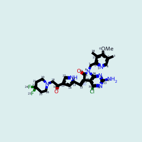 COc1c(C)cnc(CN2C(=O)/C(=C\c3cc(C(=O)CN4CCC(F)(F)CC4)c[nH]3)c3c(Cl)nc(N)nc32)c1C